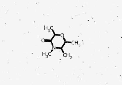 CC1OC(C)C(C)N(C)C1=O